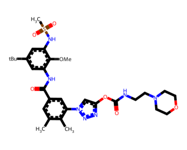 COc1c(NC(=O)c2cc(C)c(C)c(-n3cc(OC(=O)NCCN4CCOCC4)nn3)c2)cc(C(C)(C)C)cc1NS(C)(=O)=O